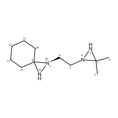 CC1(C)NN1CC[N@@]1NC12CCCCC2